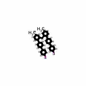 Cc1ccc(-c2ccc(-c3ccc(I)cc3)cc2)c(Cc2cc(C)ccc2-c2ccc(-c3ccc(I)cc3)cc2)c1